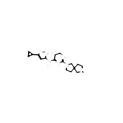 CN1CCC2(CCN(C3=NCCC(NC4C=C(C5CC5)NN4)=N3)C2)C1